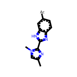 CC(=O)c1ccc2nc(-c3nc(C)cn3C)[nH]c2c1